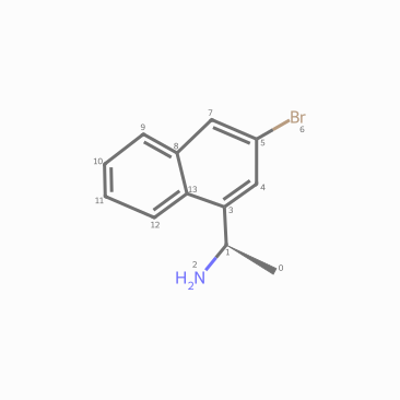 C[C@@H](N)c1cc(Br)cc2ccccc12